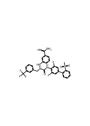 CS(=O)(=O)c1ccccc1-c1cc(F)c(NC(=O)N(Cc2cccc(C(F)(F)F)c2)Nc2cccc(C(=N)N)c2)c(F)c1